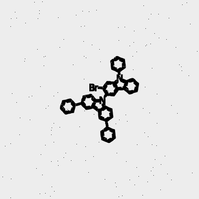 Brc1cc2c(cc1-n1c3ccc(-c4ccccc4)cc3c3cc(-c4ccccc4)ccc31)c1ccccc1n2-c1ccccc1